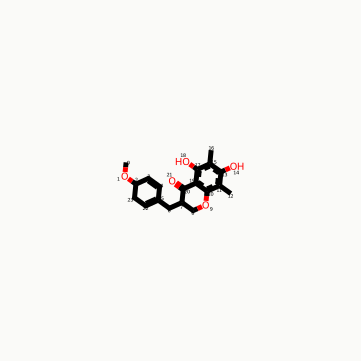 COC1C=CC(CC2COc3c(C)c(O)c(C)c(O)c3C2=O)=CC1